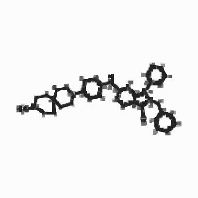 CN1CCC2(CC1)CCN(c1ccc(Nc3ncc4c(=O)n(Cc5ccccc5)n(-c5ccccc5)c4n3)cc1)CC2